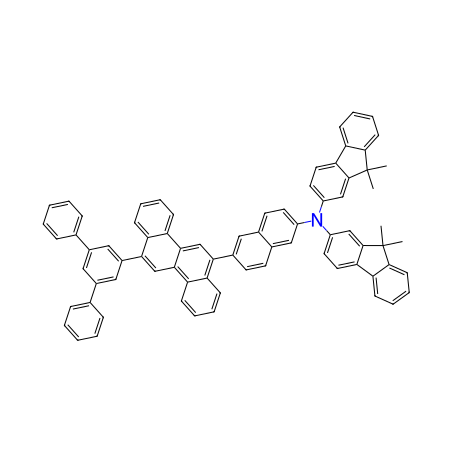 CC1(C)c2ccccc2-c2ccc(N(c3ccc4c(c3)C(C)(C)c3ccccc3-4)c3ccc4cc(-c5cc6c7ccccc7c(-c7cc(-c8ccccc8)cc(-c8ccccc8)c7)cc6c6ccccc56)ccc4c3)cc21